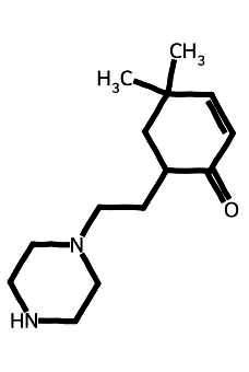 CC1(C)C=CC(=O)C(CCN2CCNCC2)C1